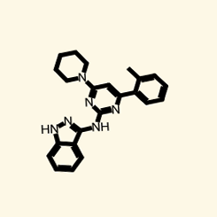 Cc1ccccc1-c1cc(N2CCCCC2)nc(Nc2n[nH]c3ccccc23)n1